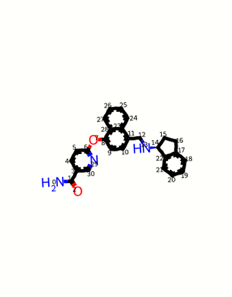 NC(=O)c1ccc(Oc2ccc(CN[C@H]3CCc4ccccc43)c3ccccc23)nc1